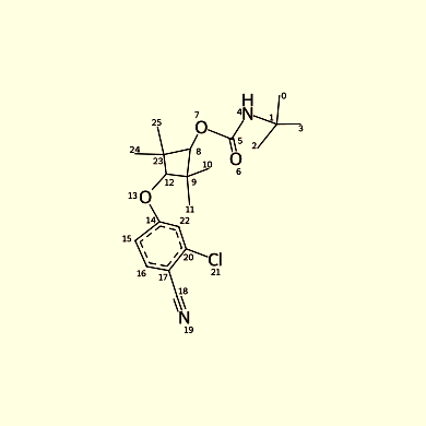 CC(C)(C)NC(=O)OC1C(C)(C)C(Oc2ccc(C#N)c(Cl)c2)C1(C)C